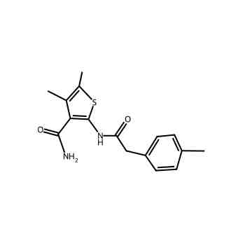 Cc1ccc(CC(=O)Nc2sc(C)c(C)c2C(N)=O)cc1